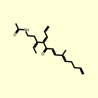 C=C/C=C(C(=O)/C=C/C(C)=C/CCC=C)\C(=C/C)CCNC(C)=O